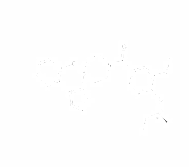 CC[C@H](C)Oc1ccc(C(=O)N2CCC3(CC2)Oc2ccccc2-n2cccc23)cc1OC